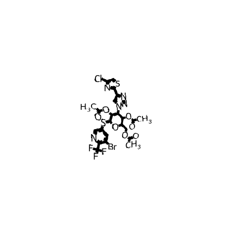 CC(=O)OCC1OC(Sc2cnc(C(F)(F)F)c(Br)c2)C(OC(C)=O)C(n2cc(-c3nc(Cl)cs3)nn2)C1OC(C)=O